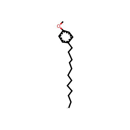 [CH2]CCCCCCCCCCCc1ccc(OC)cc1